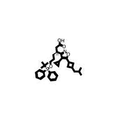 CC(C)CC1CC(c2onc([C@@H](CCCO[Si](c3ccccc3)(c3ccccc3)C(C)(C)C)CC(=O)O)c2C2CC2)C1